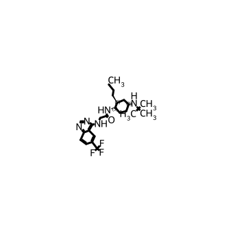 CCCC[C@H]1C[C@H](NC(C)(C)C)CC[C@@H]1NC(=O)CNc1ncnc2ccc(C(F)(F)F)cc12